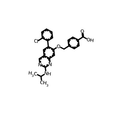 CC(C)Nc1ncc2cc(-c3ccccc3Cl)c(OCc3ccc(C(=O)O)cc3)cc2n1